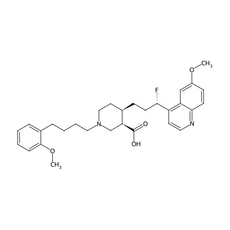 COc1ccc2nccc([C@@H](F)CC[C@@H]3CCN(CCCCc4ccccc4OC)C[C@@H]3C(=O)O)c2c1